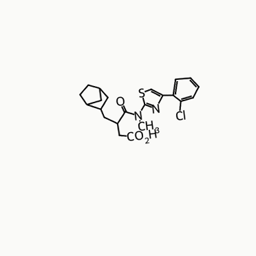 CN(C(=O)C(CC(=O)O)CC1CC2CCC1C2)c1nc(-c2ccccc2Cl)cs1